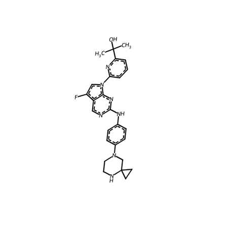 CC(C)(O)c1cccc(-n2cc(F)c3cnc(Nc4ccc(N5CCNC6(CC6)C5)cc4)nc32)n1